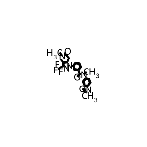 Cc1nc2ccc(N(C)C(=O)c3cccc(-n4nc(C(F)(F)F)c5c4CC(=O)N(C)C5)c3)cc2o1